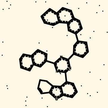 C1=Cc2oc3cccc(-c4nc(-c5cccc(-c6ccc7ccc8ccccc8c7c6)c5)nc(-c5ccc6ccccc6c5)n4)c3c2CC1